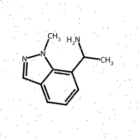 CC(N)c1cccc2cnn(C)c12